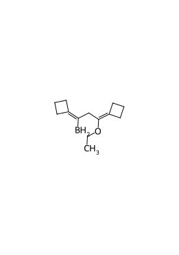 BC(CC(OCC)=C1CCC1)=C1CCC1